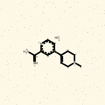 CN1CC=C(c2ccnc(C(=N)N)c2)CC1.Cl